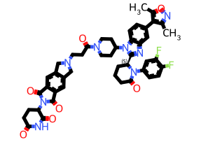 Cc1noc(C)c1-c1ccc2c(c1)nc([C@@H]1CCCC(=O)N1c1ccc(F)c(F)c1)n2C1CCN(C(=O)CCN2Cc3cc4c(cc3C2)C(=O)N(C2CCC(=O)NC2=O)C4=O)CC1